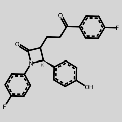 O=C(CCC1C(=O)N(c2ccc(F)cc2)[C@@H]1c1ccc(O)cc1)c1ccc(F)cc1